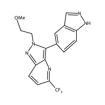 COCCn1nc2ccc(C(F)(F)F)nc2c1-c1ccc2[nH]ncc2c1